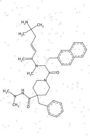 C=C(/C=C/CC(C)(C)N)N(C)[C@H](Cc1ccc2ccccc2c1)C(=O)N1CCC(Cc2ccccc2)(C(=O)NN(C)C)CC1